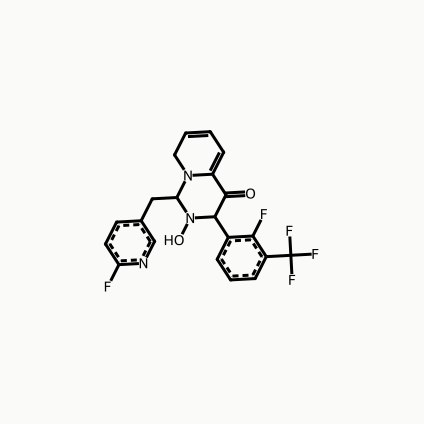 O=C1C2=CC=CCN2C(Cc2ccc(F)nc2)N(O)C1c1cccc(C(F)(F)F)c1F